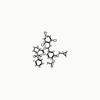 O=C(OC(Cc1c(Cl)c[n+]([O-])cc1Cl)c1ccc(OC(F)F)c(OCC2CC2)c1)C1SCCN1S(=O)(=O)c1ccccc1